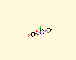 COc1ccc(S(=O)(=O)N2CCC(N3CCC(C)CC3)CC2)cc1.Cl